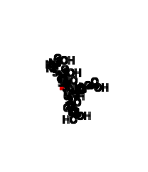 CO[C@@]1(NC(=O)C(NC(=O)c2coc3cc(O)c(O)cc3c2=O)c2ccc(OCC(=O)O)cc2)C(=O)N2C(C(=O)O)=C(CSc3nnnn3CC(=O)O)CS[C@H]21